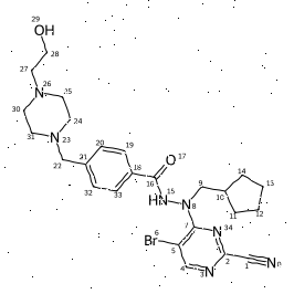 N#Cc1ncc(Br)c(N(CC2CCCC2)NC(=O)c2ccc(CN3CCN(CCO)CC3)cc2)n1